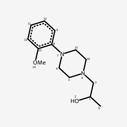 [CH2]C(O)CN1CCN(c2ccccc2OC)CC1